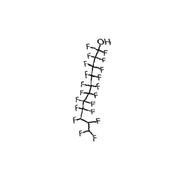 OC(F)(F)C(F)(F)C(F)(F)C(F)(F)C(F)(F)C(F)(F)C(F)(F)C(F)(F)C(F)C(F)C(F)F